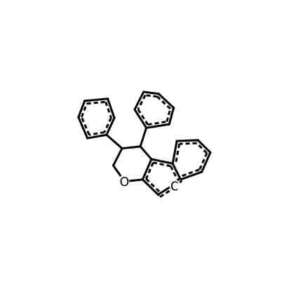 c1ccc(C2COc3ccc4ccccc4c3C2c2ccccc2)cc1